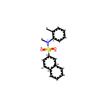 Cc1ccccc1N(C)S(=O)(=O)c1ccc2ccccc2c1